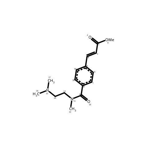 COC(=O)C=Cc1ccc(C(=O)N(C)CCN(C)C)cc1